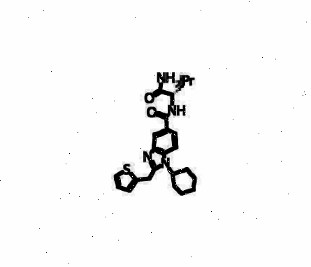 CC(C)C[C@H](NC(=O)c1ccc2c(c1)nc(Cc1cccs1)n2C1CCCCC1)C(N)=O